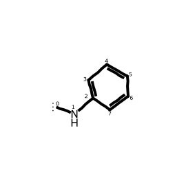 [C]Nc1ccccc1